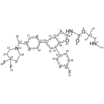 CNCC(C)(C)OC(=O)Nc1cc2cc(-c3ccc(C(C)N4CCC(F)(F)CC4)cc3)cc(-c3ccc(F)cc3)c2o1